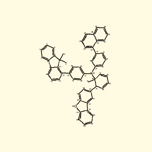 CC1(C)c2ccccc2-c2cccc(-c3ccc(N(c4cccc(-c5cccc6ccccc56)c4)C4(C)C=CC=CC4c4ccc5oc6ccccc6c5c4)cc3)c21